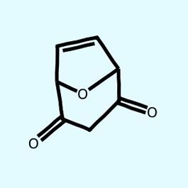 O=C1CC(=O)C2C=CC1O2